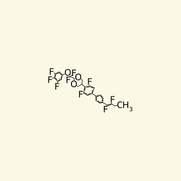 CC/C(F)=C(\F)c1ccc(-c2cc(F)c(C3COC(C(F)(F)Oc4cc(F)c(F)c(F)c4)OC3)c(F)c2)cc1